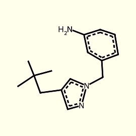 CC(C)(C)Cc1cnn(Cc2cccc(N)c2)c1